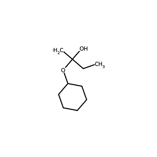 [CH2]C(O)(CC)OC1CCCCC1